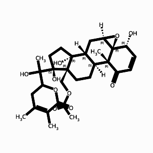 CC(=O)OC[C@]12CC[C@H]3[C@@H](C[C@H]4O[C@]45[C@H](O)C=CC(=O)[C@]35C)[C@]1(O)CC[C@@]2(O)C(C)(O)C1CC(C)=C(C)C(=O)O1